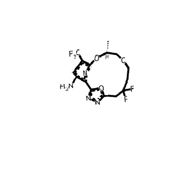 C[C@@H]1CCCCC(F)(F)Cc2nnc(o2)-c2nc(c(C(F)(F)F)cc2N)O1